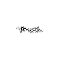 CCCc1ccc(CCCC[C@H]2CC[C@H]([C@H]3CC[Si@H](CCC)CC3)CC2)c(F)c1F